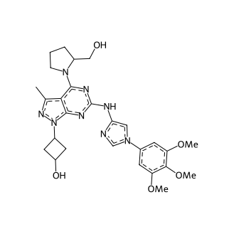 COc1cc(-n2cnc(Nc3nc(N4CCCC4CO)c4c(C)nn(C5CC(O)C5)c4n3)c2)cc(OC)c1OC